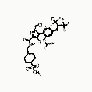 CCn1nc(C(=O)NCC2CCC(S(C)(=O)=O)CC2)c(Cl)c1-c1ccc(CC(C(F)(F)F)C(F)(F)F)cc1OC(F)F